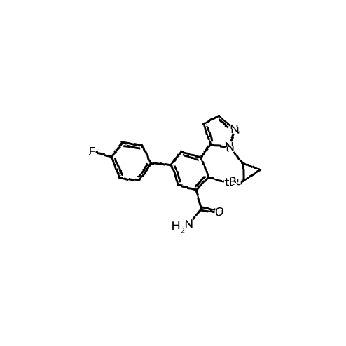 CC(C)(C)c1c(C(N)=O)cc(-c2ccc(F)cc2)cc1-c1ccnn1C1CC1